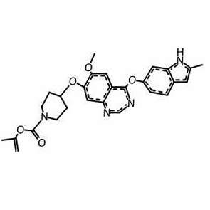 C=C(C)OC(=O)N1CCC(Oc2cc3ncnc(Oc4ccc5cc(C)[nH]c5c4)c3cc2OC)CC1